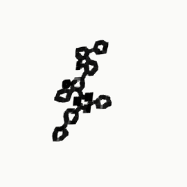 c1ccc(-c2ccc(-c3nc(-c4ccccc4)nc(-c4cc(-c5cccc6c5sc5cccc(-c7ccccc7)c56)cc5oc6ccccc6c45)n3)cc2)cc1